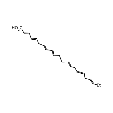 CCC=CCC=CCC=CCCC=CC=CCC=CC=CC(=O)O